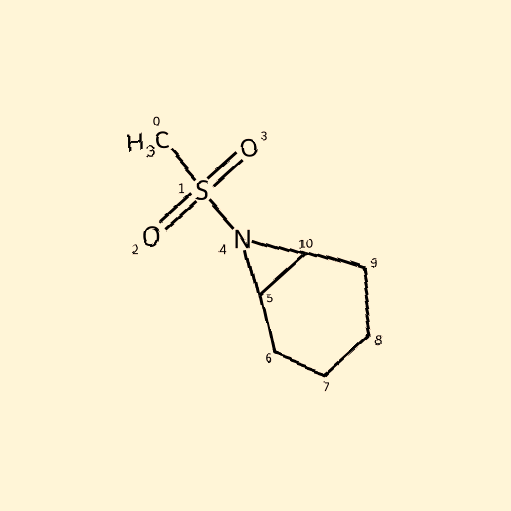 CS(=O)(=O)N1C2CCCCC21